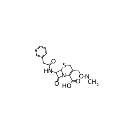 C=NOCC1=C(C(=O)O)N2C(=O)C(NC(=O)Cc3ccccc3)C2SC1